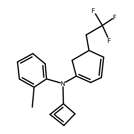 Cc1ccccc1N(C1=C=CC1)C1=CC=CC(CC(F)(F)F)C1